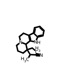 CCC1(C(C)C#N)CCCN2CCc3c([nH]c4ccccc34)C21